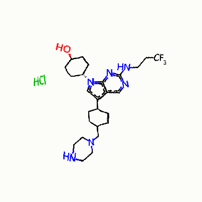 Cl.O[C@H]1CC[C@H](n2cc(C3CCC(CN4CCNCC4)CC3)c3cnc(NCCC(F)(F)F)nc32)CC1